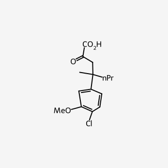 CCCC(C)(CC(=O)C(=O)O)c1ccc(Cl)c(OC)c1